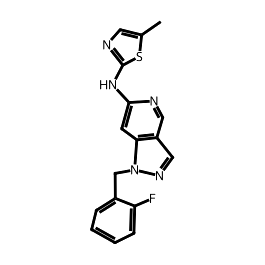 Cc1cnc(Nc2cc3c(cn2)cnn3Cc2ccccc2F)s1